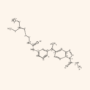 CCN(CC)CCCNC(=O)Nc1cc(N(C)c2ccc3c(ccn3C(=O)NC)c2)ccn1